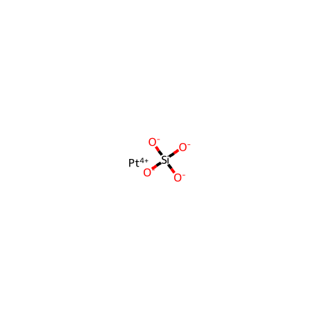 [O-][Si]([O-])([O-])[O-].[Pt+4]